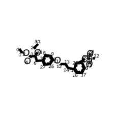 CCOC(=O)C(Cc1ccc(OCCCc2cccc(OS(C)(=O)=O)c2)cc1)OCC